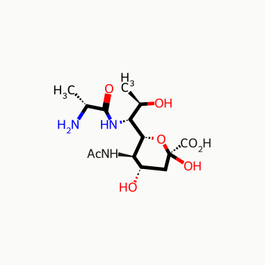 CC(=O)N[C@H]1[C@H]([C@H](NC(=O)[C@@H](C)N)[C@@H](C)O)O[C@](O)(C(=O)O)C[C@@H]1O